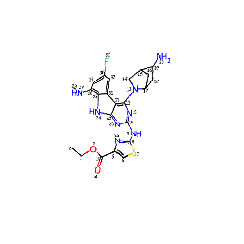 CCOC(=O)c1csc(Nc2nc(N3CC4CC3CC4N)c3c(n2)[nH]c2c(NC)cc(F)cc23)n1